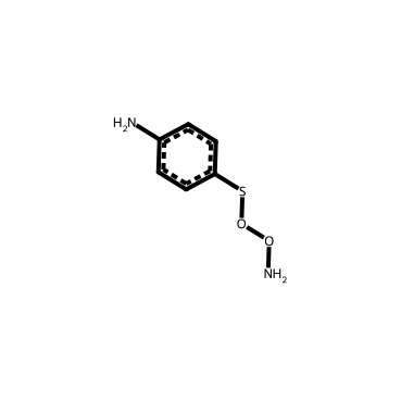 NOOSc1ccc(N)cc1